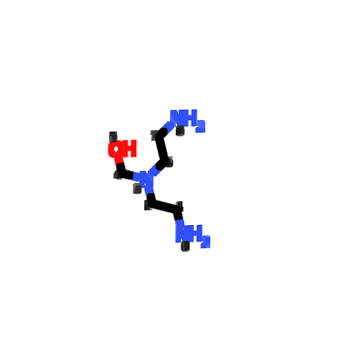 NCCN(CO)CCN